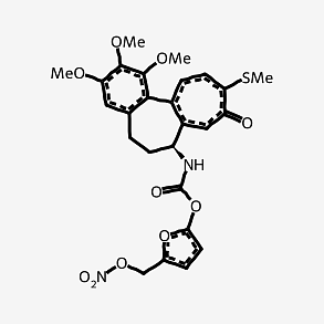 COc1cc2c(c(OC)c1OC)-c1ccc(SC)c(=O)cc1[C@@H](NC(=O)Oc1ccc(CO[N+](=O)[O-])o1)CC2